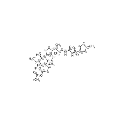 CC[C@@H]1[C@@H]2[C@@H](F)[C@H](OC(C)=O)CC[C@]2(C)C2CC[C@@]3(C)C(CCC3[C@H](C)CCNC(=O)NS(=O)(=O)c3ccc(C)cc3)C2[C@@H]1O